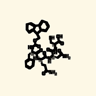 NC(=O)CC[C@H](NC(=O)[C@H](Cc1ccccc1)NC(=O)OCC1c2ccccc2-c2ccccc21)C(=O)N[C@@H](CC(N)=O)C(=O)N[C@@H](CS)C(=O)O